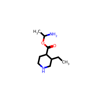 CCC1CNCCC1C(=O)OC(C)N